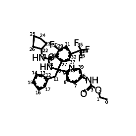 CCOC(=O)Nc1ccc(C(Cc2ccccc2)(NC(=O)NC2CCCC2)c2cc(F)cc(C(F)(F)F)c2)nc1